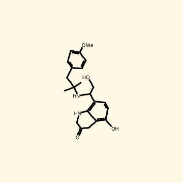 COc1ccc(CC(C)(C)NC(CO)c2ccc(O)c3c2NCC(=O)C3)cc1